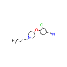 CCCCN1CCC(Oc2ccc(C#N)cc2Cl)CC1